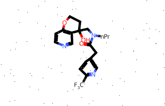 CCCN(CC1(O)CCOc2ccncc21)C(=O)Cc1ccc(C(F)(F)F)nc1